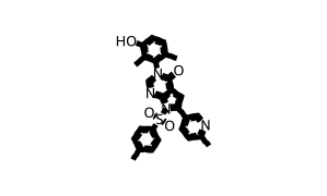 Cc1ccc(S(=O)(=O)n2c(-c3ccc(C)nc3)cc3c(=O)n(-c4c(C)ccc(O)c4C)cnc32)cc1